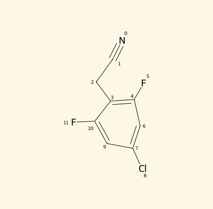 N#CCc1c(F)cc(Cl)cc1F